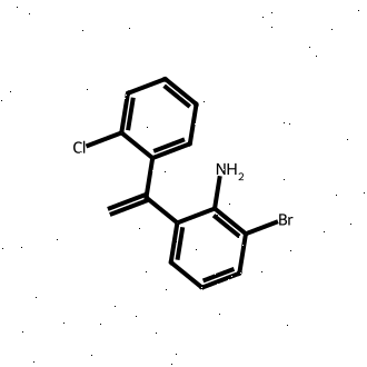 C=C(c1ccccc1Cl)c1cccc(Br)c1N